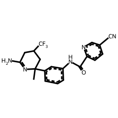 CC1(c2cccc(NC(=O)c3ccc(C#N)cn3)c2)CC(C(F)(F)F)CC(N)=N1